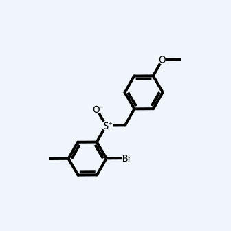 COc1ccc(C[S+]([O-])c2cc(C)ccc2Br)cc1